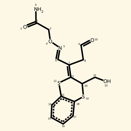 NC(=O)CO/N=C/C(CC=O)=C1\Sc2ccccc2SC1CO